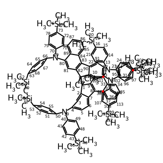 CC12c3cc(ccc3-c3c1cc(N(c1ccc([Si](C)(C)C)cc1)c1ccc([Si](C)(C)C)cc1)c1ccccc31)N(c1ccc([Si](C)(C)C)cc1)c1ccc(cc1)[Si](C)(C)C[Si](C)(C)c1ccc(cc1)N(c1ccc([Si](C)(C)C)cc1)c1cc3c(c4ccccc14)-c1ccc(N(c4ccc([Si](C)(C)C)cc4)c4ccc([Si](C)(C)C)cc4)cc1C32C